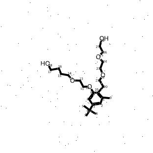 Cc1cc(C(C)(C)C)cc(OCCOCCCCO)c1CCOCCOCCO